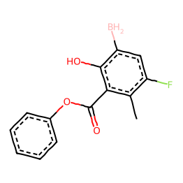 Bc1cc(F)c(C)c(C(=O)Oc2ccccc2)c1O